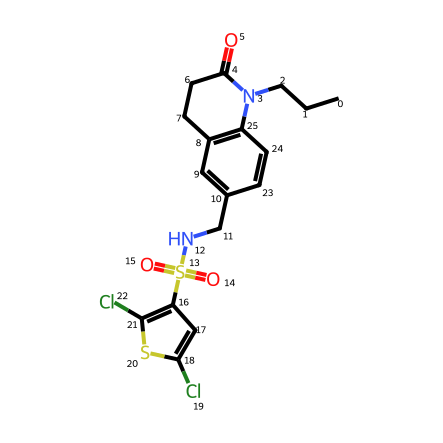 CCCN1C(=O)CCc2cc(CNS(=O)(=O)c3cc(Cl)sc3Cl)ccc21